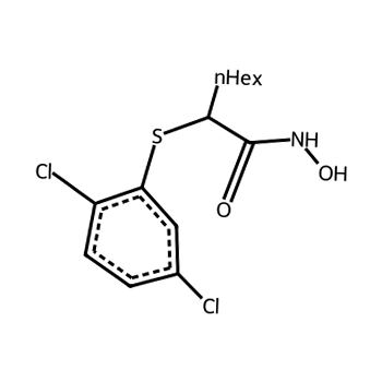 CCCCCCC(Sc1cc(Cl)ccc1Cl)C(=O)NO